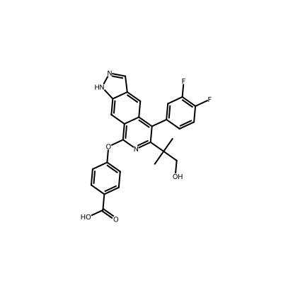 CC(C)(CO)c1nc(Oc2ccc(C(=O)O)cc2)c2cc3[nH]ncc3cc2c1-c1ccc(F)c(F)c1